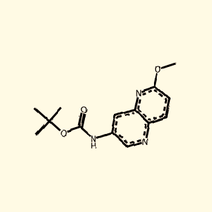 COc1ccc2ncc(NC(=O)OC(C)(C)C)cc2n1